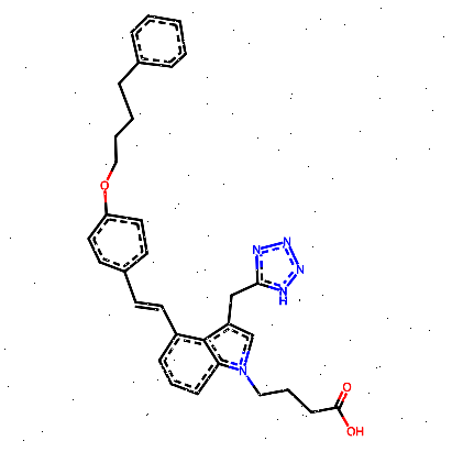 O=C(O)CCCn1cc(Cc2nnn[nH]2)c2c(/C=C/c3ccc(OCCCCc4ccccc4)cc3)cccc21